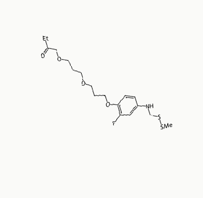 CCC(=O)COCCCOCCCOc1ccc(NCSSC)cc1F